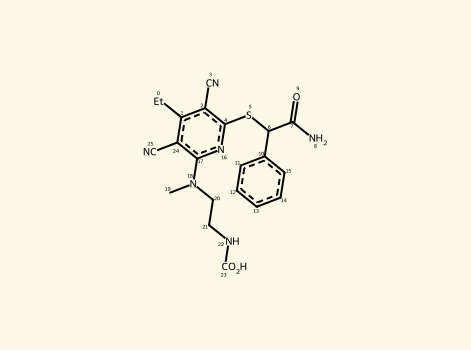 CCc1c(C#N)c(SC(C(N)=O)c2ccccc2)nc(N(C)CCNC(=O)O)c1C#N